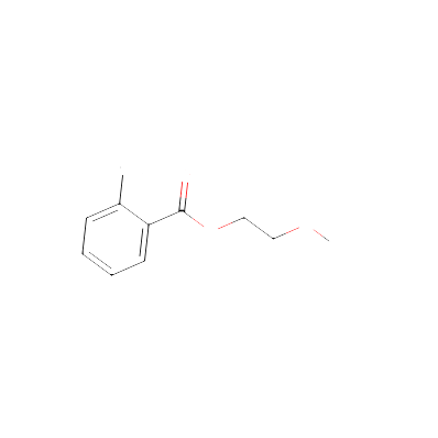 COCCOC(=O)c1ccccc1C